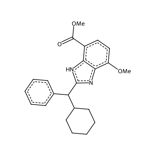 COC(=O)c1ccc(OC)c2nc(C(c3ccccc3)C3CCCCC3)[nH]c12